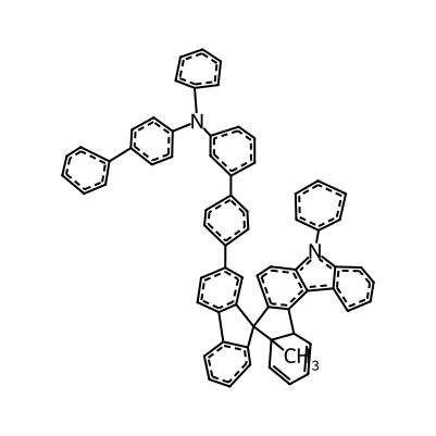 CC12C=CC=CC1c1c(ccc3c1c1ccccc1n3-c1ccccc1)C21c2ccccc2-c2ccc(-c3ccc(-c4cccc(N(c5ccccc5)c5ccc(-c6ccccc6)cc5)c4)cc3)cc21